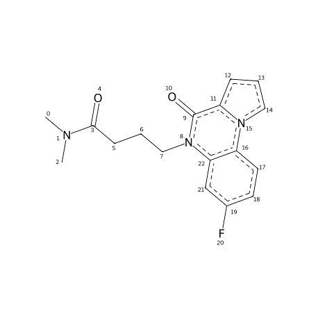 CN(C)C(=O)CCCn1c(=O)c2cccn2c2ccc(F)cc21